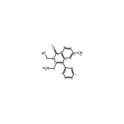 CC(C)Cn1c(CN)c(-c2ccccc2)c2cc(C#N)ccc2c1=O